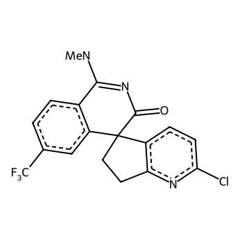 CNC1=NC(=O)C2(CCc3nc(Cl)ccc32)c2cc(C(F)(F)F)ccc21